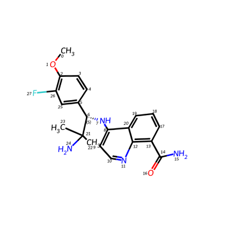 COc1ccc([C@H](Nc2ccnc3c(C(N)=O)cccc23)C(C)(C)N)cc1F